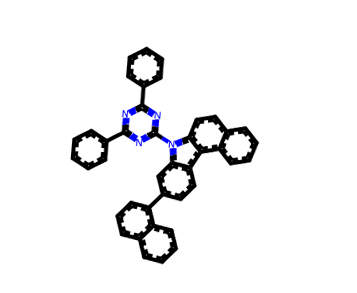 c1ccc(-c2nc(-c3ccccc3)nc(-n3c4cc(-c5cccc6ccccc56)ccc4c4c5ccccc5ccc43)n2)cc1